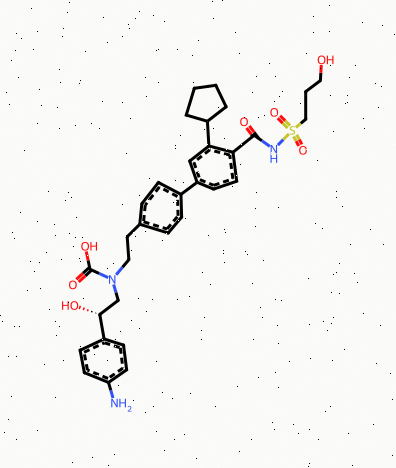 Nc1ccc([C@H](O)CN(CCc2ccc(-c3ccc(C(=O)NS(=O)(=O)CCCO)c(C4CCCC4)c3)cc2)C(=O)O)cc1